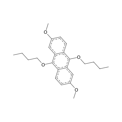 CCCCOc1c2ccc(OC)cc2c(OCCCC)c2ccc(OC)cc12